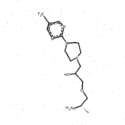 C[C@H]([AsH2])COCC(O)CN1CCN(c2ncc(C(F)(F)F)cn2)CC1